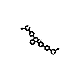 N#Cc1cncc(-c2ccc(-c3ccc4c(c3)oc3cc(-c5ccc(-c6cncc(C#N)c6)cc5)c5ccccc5c34)cc2)c1